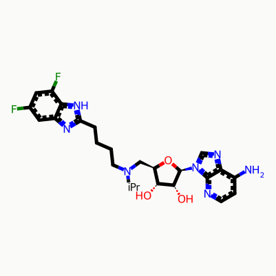 CC(C)N(CCCCc1nc2cc(F)cc(F)c2[nH]1)C[C@H]1O[C@@H](n2cnc3c(N)ccnc32)[C@H](O)[C@@H]1O